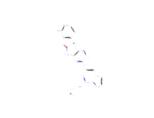 CC1(c2ccc(F)c(F)c2)C(=O)Nc2nc(-c3cn4ccnc4c(CCC(F)(F)F)n3)ncc21